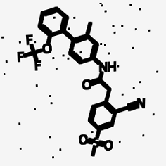 Cc1cc(NC(=O)Cc2ccc(S(C)(=O)=O)cc2C#N)ccc1-c1ccccc1OC(F)(F)F